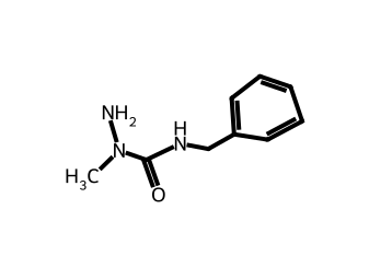 CN(N)C(=O)NCc1ccccc1